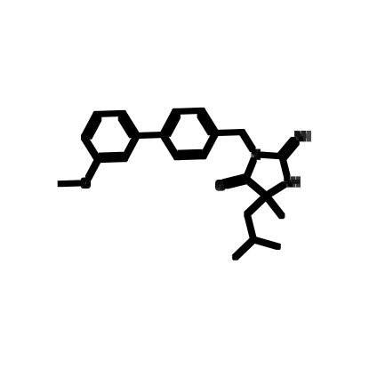 COc1cccc(-c2ccc(CN3C(=N)NC(C)(CC(C)C)C3=O)cc2)c1